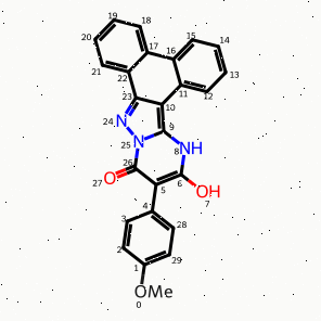 COc1ccc(-c2c(O)[nH]c3c4c5ccccc5c5ccccc5c4nn3c2=O)cc1